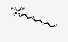 CC(C)CCOCCOCCOP(=O)(O)O